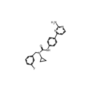 Nc1nccc(-c2ccc(NC(=O)N(Cc3cccc(F)c3)C3CC3)cc2)n1